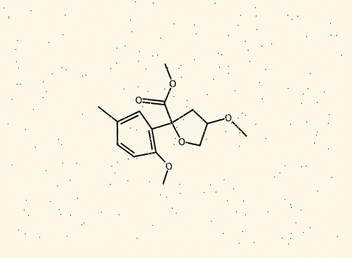 COC(=O)C1(c2cc(C)ccc2OC)CC(OC)CO1